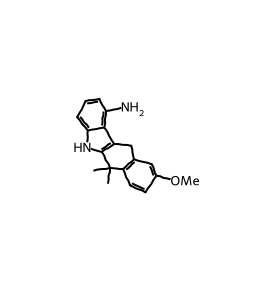 COc1ccc2c(c1)Cc1c([nH]c3cccc(N)c13)C2(C)C